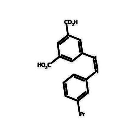 CC(C)c1cccc(/N=N\c2cc(C(=O)O)cc(C(=O)O)c2)c1